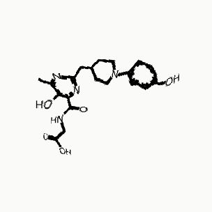 Cc1nc(CC2CCN(c3ccc(O)cc3)CC2)nc(C(=O)NCC(=O)O)c1O